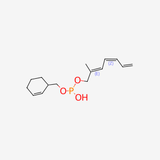 C=C/C=C\C=C(/C)COP(O)OCC1C=CCCC1